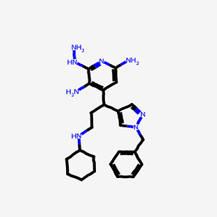 NNc1nc(N)cc(C(CCNC2CCCCC2)c2cnn(Cc3ccccc3)c2)c1N